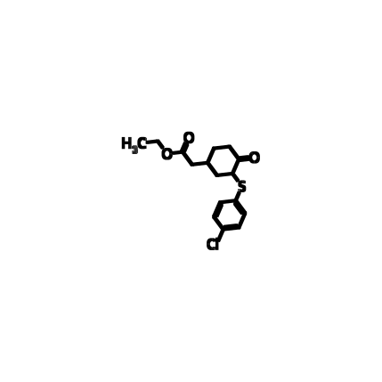 CCOC(=O)CC1CCC(=O)C(Sc2ccc(Cl)cc2)C1